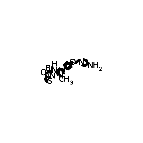 CN1C[C@H](Nc2nc3sccn3c(=O)c2Br)C[C@H](c2ccc(OCCN3CCC(N)CC3)cc2)C1